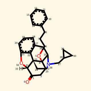 O=C1CC[C@@]2(OCCCc3ccccc3)C3Cc4cccc5c4[C@@]2(CCN3CC2CC2)[C@H]1O5